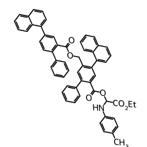 CCOC(=O)C(Nc1ccc(C)cc1)OC(=O)c1cc(-c2cccc3ccccc23)c(COC(=O)c2cc(-c3cccc4ccccc34)ccc2-c2ccccc2)cc1-c1ccccc1